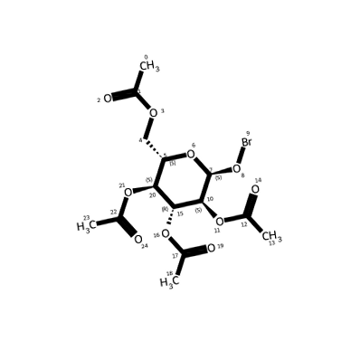 CC(=O)OC[C@@H]1O[C@@H](OBr)[C@@H](OC(C)=O)[C@H](OC(C)=O)[C@H]1OC(C)=O